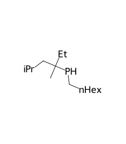 CCCCCCCPC(C)(CC)CC(C)C